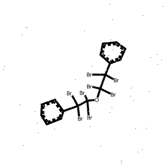 BrC(Br)(OC(Br)(Br)C(Br)(Br)c1ccccc1)C(Br)(Br)c1ccccc1